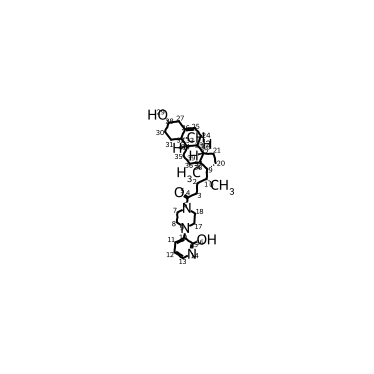 C[C@H](CCC(=O)N1CCN(c2cccnc2O)CC1)[C@H]1CC[C@H]2[C@@H]3CC=C4C[C@@H](O)CC[C@]4(C)[C@H]3CC[C@]12C